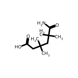 CC(C)(CC(=O)O)CC(C)(C)C(N)=O